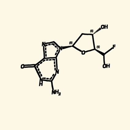 Nc1nc2c(ncn2[C@H]2C[C@H](O)[C@@H](C(O)F)O2)c(=O)[nH]1